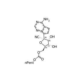 CCCCCOC(=O)OC[C@H]1O[C@@](C#N)(c2ccc3c(N)ncnn23)[C@H](O)[C@@H]1O